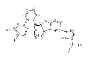 O=C1c2cc(-c3nnc(C(F)F)o3)ccc2CN1[C@H](c1cnccn1)[C@@H](O)c1ccc(F)c(F)c1